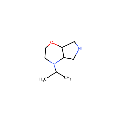 CC(C)N1CCOC2CNCC21